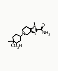 Cn1c(C(N)=O)nc2c1CCN(C1CCC(C)(C(=O)O)CC1)C2